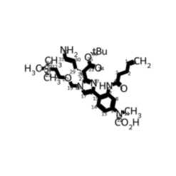 C=CCCC(=O)Nc1cc(N(C)C(=O)O)ccc1-c1cn(COCC[Si](C)(C)C)c([C@H](CC=CN)C(=O)OC(C)(C)C)n1